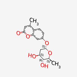 Cc1cc(=O)oc2cc(O[C@H]3C[C@H](O)[C@@H](O)[C@H](C)O3)ccc12